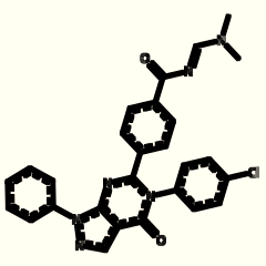 CN(C)C=NC(=O)c1ccc(-c2nc3c(cnn3-c3ccccc3)c(=O)n2-c2ccc(Cl)cc2)cc1